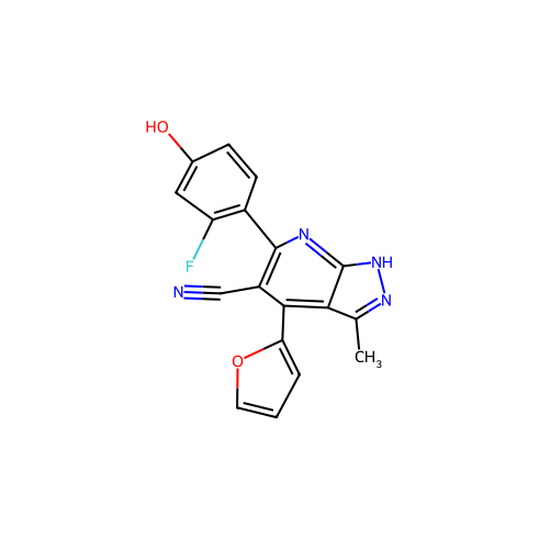 Cc1n[nH]c2nc(-c3ccc(O)cc3F)c(C#N)c(-c3ccco3)c12